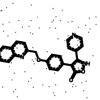 O=c1o[nH]c(-c2ccncc2)c1-c1ccc(OCc2ccc3ccccc3n2)cc1